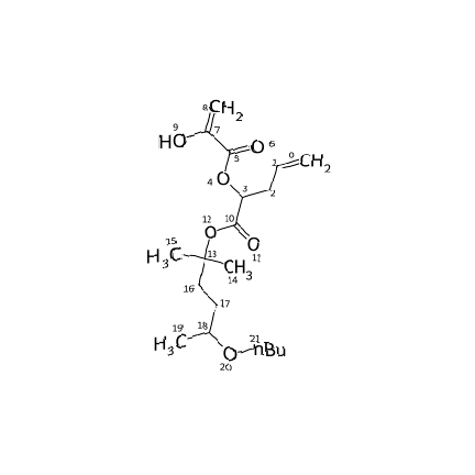 C=CCC(OC(=O)C(=C)O)C(=O)OC(C)(C)CCC(C)OCCCC